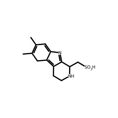 CC1=C(C)CC2=C3CCNC(CS(=O)(=O)O)C3=NC2=C1